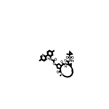 Cc1ccc(-c2ccc(C)cc2NC(=O)OC2CC3C(=O)NC4(C(=O)NS(=O)(=O)C5(C)CC5)CC4C=CCCCCN(C)C(=O)C3C2)nc1